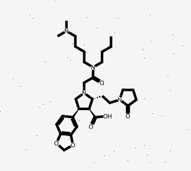 CCCCN(CCCCN(C)C)C(=O)CN1C[C@H](c2ccc3c(c2)OCO3)[C@H](C(=O)O)[C@H]1CCN1CCCC1=O